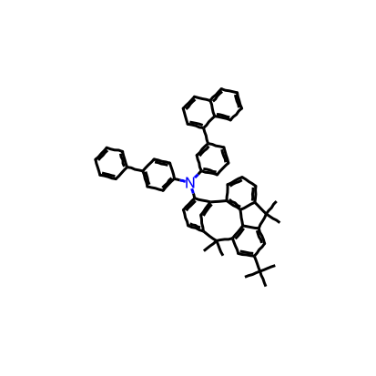 CC(C)(C)c1cc2c3c(c1)C(C)(C)c1cccc(c1-3)-c1cc(ccc1N(c1ccc(-c3ccccc3)cc1)c1cccc(-c3cccc4ccccc34)c1)C2(C)C